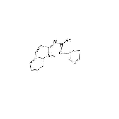 CC(=O)N(N=c1ccc2ccccc2n1C)Oc1ccccc1